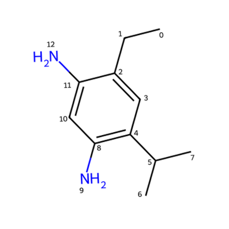 CCc1cc(C(C)C)c(N)cc1N